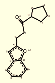 O=C(CCc1cc2ccccc2o1)C1CCCC1